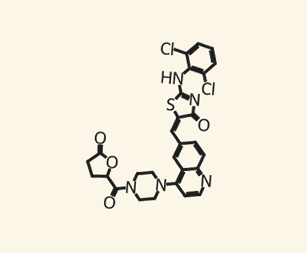 O=C1CCC(C(=O)N2CCN(c3ccnc4ccc(/C=C5/SC(Nc6c(Cl)cccc6Cl)=NC5=O)cc34)CC2)O1